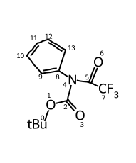 CC(C)(C)OC(=O)N(C(=O)C(F)(F)F)c1ccccc1